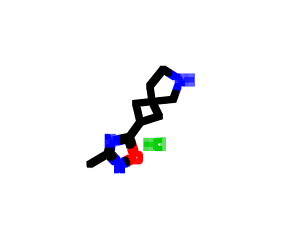 Cc1noc(C2CC3(CCNC3)C2)n1.Cl